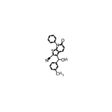 Cc1cccc(C(O)c2c(C#N)sc3c2ccc(=O)n3-c2ccccc2)c1